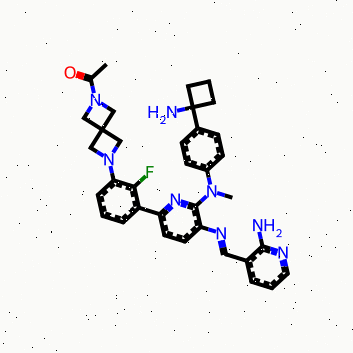 CC(=O)N1CC2(C1)CN(c1cccc(-c3ccc(/N=C/c4cccnc4N)c(N(C)c4ccc(C5(N)CCC5)cc4)n3)c1F)C2